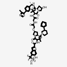 Cc1ncsc1-c1ccc([C@H](C)NC(=O)[C@@H]2C[C@@H](O)CN2C(=O)C(NC(=O)CNC(=O)CO[C@H]2C[C@@H](C(=O)N3CCCC(c4ccccc4)C3)N(C(=O)C(NC(=O)c3cc4cc(C(F)(F)P(=O)(O)O)ccc4s3)C(C)(C)C)C2)C(C)(C)C)cc1